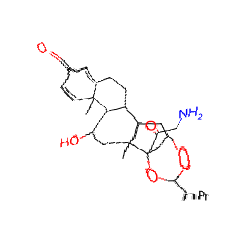 CCCC1OC2CC3C4CCC5=CC(=O)C=CC5(C)C4C(O)CC3(C)C2(C(=O)CN)O1